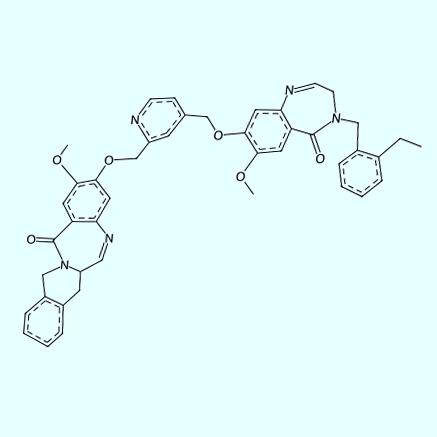 CCc1ccccc1CN1CC=Nc2cc(OCc3ccnc(COc4cc5c(cc4OC)C(=O)N4Cc6ccccc6CC4C=N5)c3)c(OC)cc2C1=O